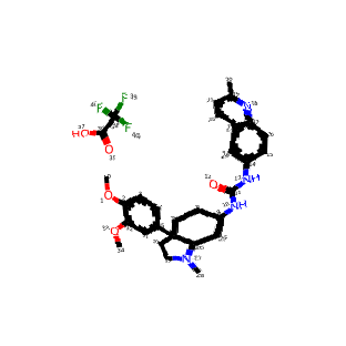 COc1ccc(C23CCC(NC(=O)Nc4ccc5nc(C)ccc5c4)CC2N(C)CC3)cc1OC.O=C(O)C(F)(F)F